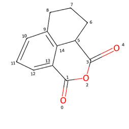 O=C1OC(=O)C2CCCc3cccc1c32